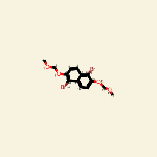 COCOc1ccc2c(Br)c(OCOC)ccc2c1Br